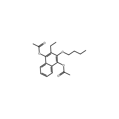 CCCCOc1c(CC)c(OC(C)=O)c2ccccc2c1OC(C)=O